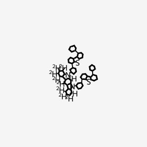 [2H]c1c([2H])c([2H])c2c(c1[2H])c1c([2H])c3c4c([2H])c([2H])c([2H])c([2H])c4n(-c4cccc(-c5cccc6c5sc5cccc(-c7ccccc7)c56)c4)c3c([2H])c1n2-c1cccc(-c2cccc3c2sc2cccc(-c4ccccc4)c23)c1